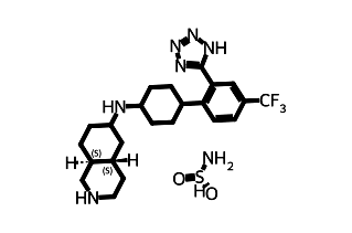 FC(F)(F)c1ccc(C2CCC(NC3CC[C@@H]4CNCC[C@H]4C3)CC2)c(-c2nnn[nH]2)c1.N[SH](=O)=O